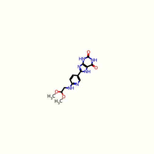 COC(CNc1ccc(-c2nc3[nH]c(=O)[nH]c(=O)c3[nH]2)cn1)OC